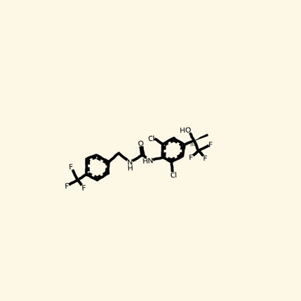 C[C@](O)(c1cc(Cl)c(NC(=O)NCc2ccc(C(F)(F)F)cc2)c(Cl)c1)C(F)(F)F